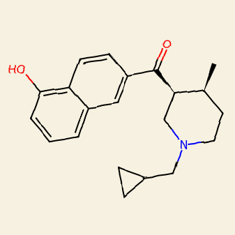 C[C@H]1CCN(CC2CC2)C[C@H]1C(=O)c1ccc2c(O)cccc2c1